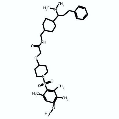 COc1cc(C)c(S(=O)(=O)N2CCC(OCC(=O)NCC3CCC(C(CCc4ccccc4)N(C)C)CC3)CC2)c(C)c1C